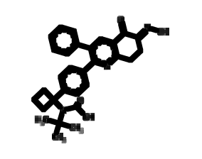 CC(C)(C)N(C(=O)O)C1(c2ccc(-c3nc4c(cc3-c3ccccc3)C(=O)C(=NO)CC4)cc2)CCC1